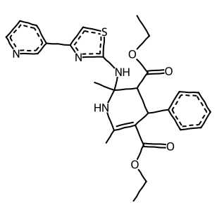 CCOC(=O)C1=C(C)NC(C)(Nc2nc(-c3cccnc3)cs2)C(C(=O)OCC)C1c1ccccc1